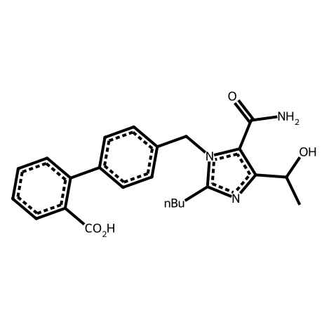 CCCCc1nc(C(C)O)c(C(N)=O)n1Cc1ccc(-c2ccccc2C(=O)O)cc1